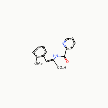 COc1ccccc1/C=C(\NC(=O)c1ccccn1)C(=O)O